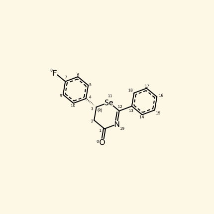 O=C1C[C@H](c2ccc(F)cc2)[Se]C(c2ccccc2)=N1